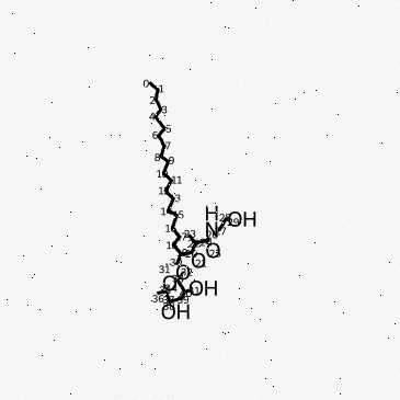 CCCCCCCCCCCCCCCCCCCC(C(=O)C(C)C(=O)NCCO)[C@@H](C)O[C@@H]1OC(C)[C@H](O)CC1O